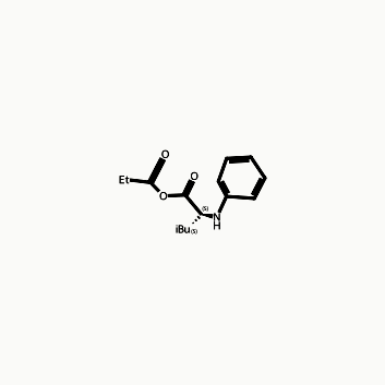 CCC(=O)OC(=O)[C@@H](Nc1ccccc1)[C@@H](C)CC